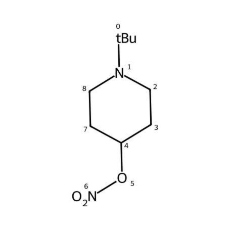 CC(C)(C)N1CCC(O[N+](=O)[O-])CC1